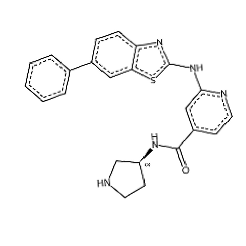 O=C(N[C@H]1CCNC1)c1ccnc(Nc2nc3ccc(-c4ccccc4)cc3s2)c1